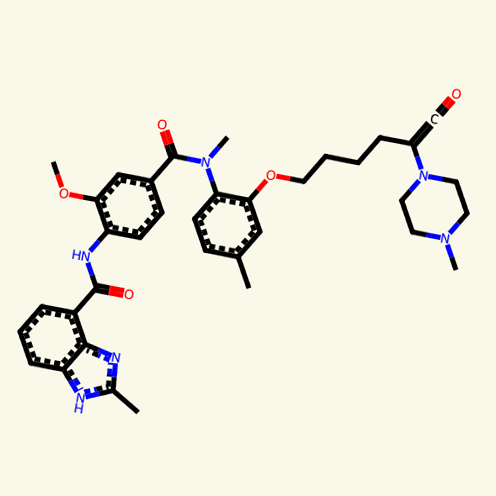 COc1cc(C(=O)N(C)c2ccc(C)cc2OCCCCC(=C=O)N2CCN(C)CC2)ccc1NC(=O)c1cccc2[nH]c(C)nc12